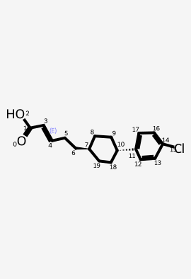 O=C(O)/C=C/CC[C@H]1CC[C@H](c2ccc(Cl)cc2)CC1